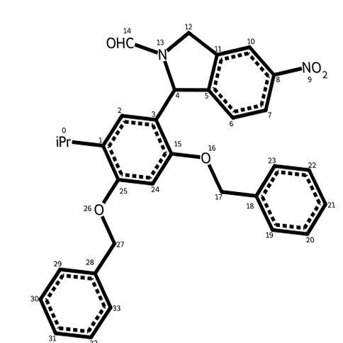 CC(C)c1cc(C2c3ccc([N+](=O)[O-])cc3CN2C=O)c(OCc2ccccc2)cc1OCc1ccccc1